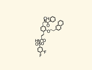 CN(Cc1ccc(/C=C/C(=O)NS(=O)(=O)c2ccc(F)c(F)c2)c(OCCc2ccc3ccccc3c2)c1)C(=O)c1ccccc1